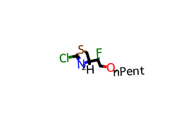 [2H]C1(C(F)COCCCCC)CSC(Cl)=N1